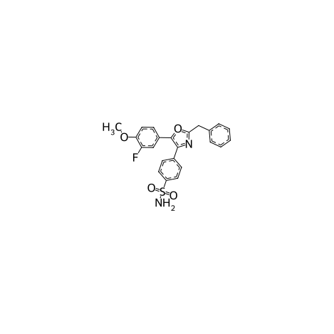 COc1ccc(-c2oc(Cc3ccccc3)nc2-c2ccc(S(N)(=O)=O)cc2)cc1F